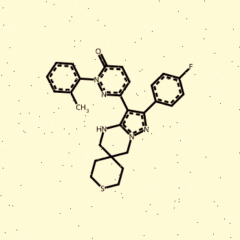 Cc1ccccc1-n1nc(-c2c(-c3ccc(F)cc3)nn3c2NCC2(CCSCC2)C3)ccc1=O